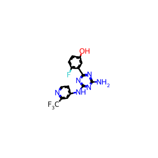 Nc1nc(Nc2ccnc(C(F)(F)F)c2)nc(-c2cc(O)ccc2F)n1